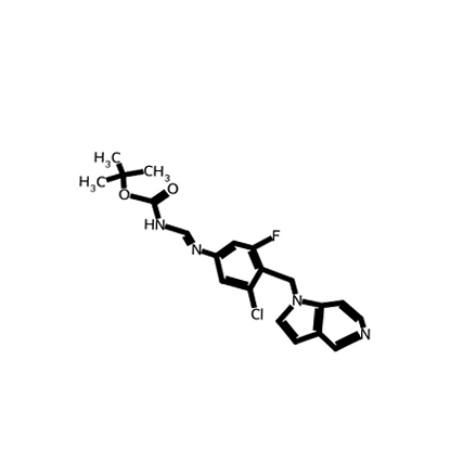 CC(C)(C)OC(=O)NC=Nc1cc(F)c(Cn2ccc3cnccc32)c(Cl)c1